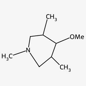 COC1C(C)CN(C)CC1C